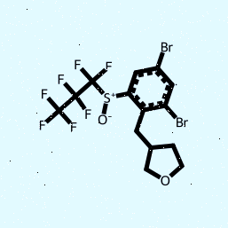 [O-][S+](c1cc(Br)[c]c(Br)c1CC1CCOC1)C(F)(F)C(F)(F)C(F)(F)F